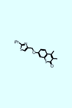 Cc1c(C)c2ccc(OCc3csc(C(C)C)n3)cc2sc1=O